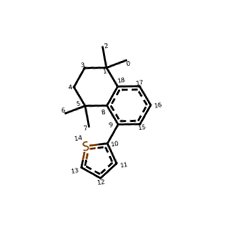 CC1(C)CCC(C)(C)c2c(-c3cccs3)cccc21